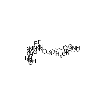 Cn1nc(C2CCC(=O)NC2=O)c2cccc(CCC3CC4(CCN(CC5CCC(n6cc(NC(=O)c7cnn8ccc(N9C[C@H]%10C[C@@H]9CO%10)nc78)c(C(F)F)n6)CC5)CC4)C3)c21